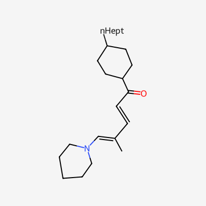 CCCCCCCC1CCC(C(=O)C=CC(C)=CN2CCCCC2)CC1